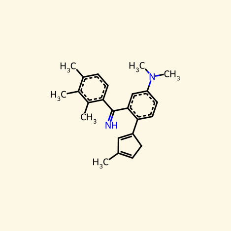 CC1=CCC(c2ccc(N(C)C)cc2C(=N)c2ccc(C)c(C)c2C)=C1